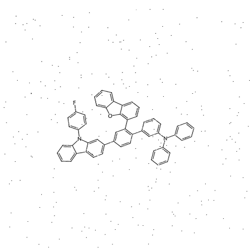 Fc1ccc(-n2c3ccccc3c3ccc(-c4ccc(-c5cccc(N(c6ccccc6)c6ccccc6)c5)c(-c5cccc6c5oc5ccccc56)c4)cc32)cc1